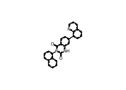 O=c1[nH]c2cc(-c3cccc4cccnc34)ccc2c(=O)n1-c1cccc2ccccc12